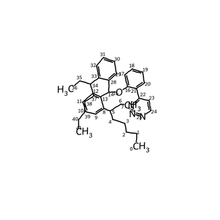 CCCCCC(CC)c1ccccc1C(Oc1ccccc1-c1ccnnn1)c1ccccc1C(CC)CCCCC